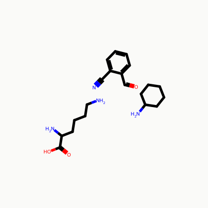 N#Cc1ccccc1C=O.NC1CCCCC1.NCCCCC(N)C(=O)O